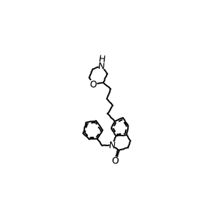 O=C1CCc2ccc(CCCCC3CNCCO3)cc2N1Cc1ccccc1